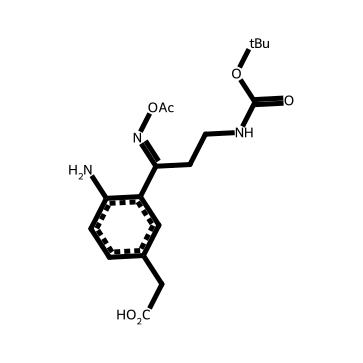 CC(=O)ON=C(CCNC(=O)OC(C)(C)C)c1cc(CC(=O)O)ccc1N